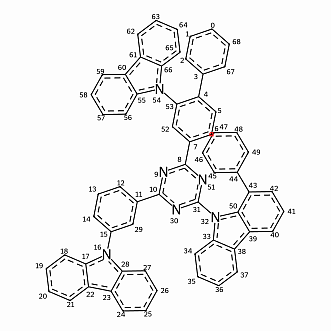 c1ccc(-c2ccc(-c3nc(-c4cccc(-n5c6ccccc6c6ccccc65)c4)nc(-n4c5ccccc5c5cccc(-c6ccccc6)c54)n3)cc2-n2c3ccccc3c3ccccc32)cc1